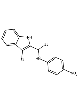 CCc1c(C(CC)Nc2ccc([N+](=O)[O-])cc2)[nH]c2ccccc12